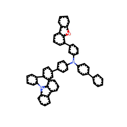 c1ccc(-c2ccc(N(c3ccc(-c4ccc(-c5ccccc5-n5c6ccccc6c6ccccc65)cc4)cc3)c3cccc(-c4cccc5c4oc4ccccc45)c3)cc2)cc1